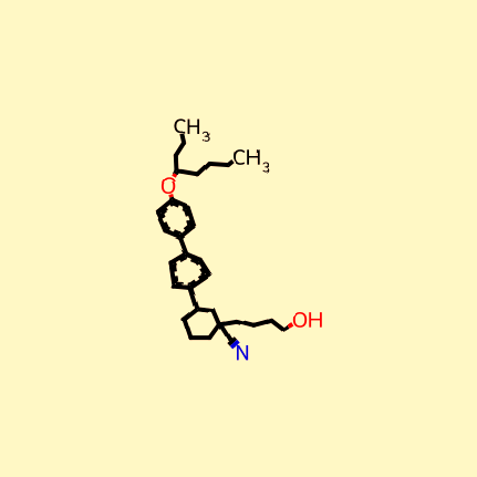 CCCCC(CCC)Oc1ccc(-c2ccc(C3CCCC(C#N)(CCCCO)C3)cc2)cc1